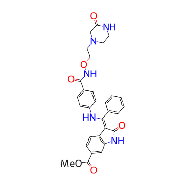 COC(=O)c1ccc2c(c1)NC(=O)/C2=C(/Nc1ccc(C(=O)NOCCN2CCNC(=O)C2)cc1)c1ccccc1